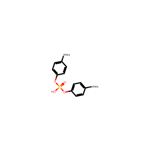 CCCCCCc1ccc(OP(=O)(O)Oc2ccc(CCCCCC)cc2)cc1